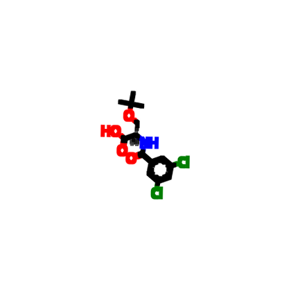 CC(C)(C)OC[C@H](NC(=O)c1cc(Cl)cc(Cl)c1)C(=O)O